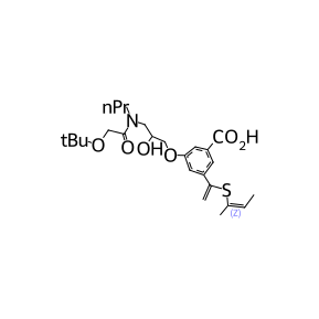 C=C(S/C(C)=C\C)c1cc(OCC(O)CN(CCC)C(=O)COC(C)(C)C)cc(C(=O)O)c1